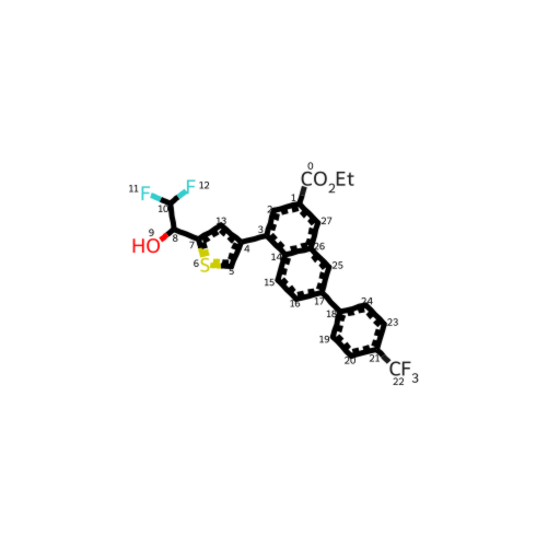 CCOC(=O)c1cc(-c2csc(C(O)C(F)F)c2)c2ccc(-c3ccc(C(F)(F)F)cc3)cc2c1